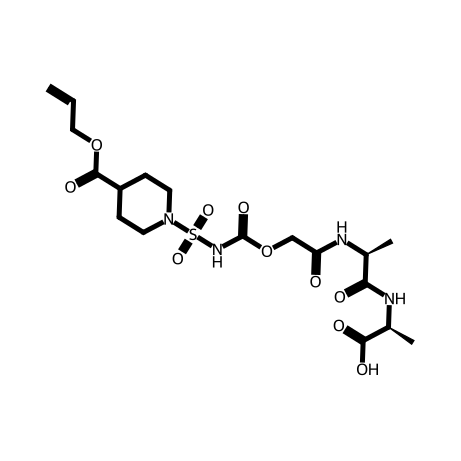 C=CCOC(=O)C1CCN(S(=O)(=O)NC(=O)OCC(=O)N[C@@H](C)C(=O)N[C@@H](C)C(=O)O)CC1